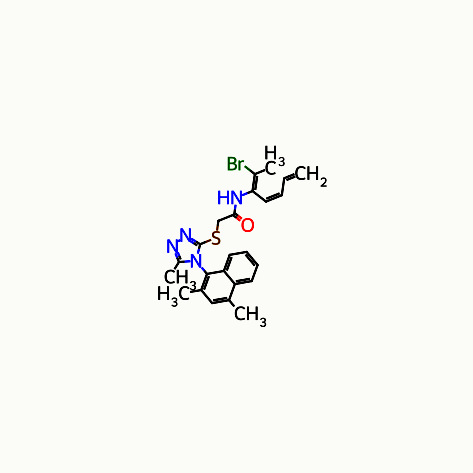 C=C/C=C\C(NC(=O)CSc1nnc(C)n1-c1c(C)cc(C)c2ccccc12)=C(/C)Br